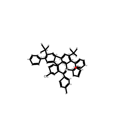 Cc1ccc(/[C](c2cccc(Cl)c2)=[Zr](\[C]2=CC=CC2)[c]2c3c(cc(C(C)(C)C)c2-c2ccccc2)-c2cc(C(C)(C)C)c(-c4ccccc4)cc2C3)cc1